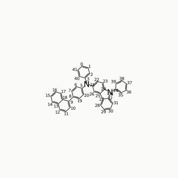 c1ccc(N(c2ccc(-c3cccc4ccccc34)cc2)c2ccc3c(c2)c2ccccc2n3-c2ccccc2)cc1